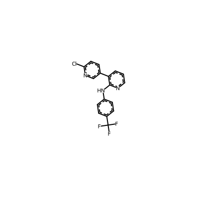 FC(F)(F)c1ccc(Nc2ncccc2-c2ccc(Cl)nc2)cc1